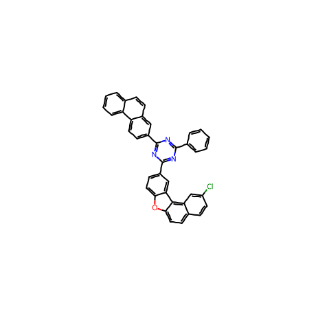 Clc1ccc2ccc3oc4ccc(-c5nc(-c6ccccc6)nc(-c6ccc7c(ccc8ccccc87)c6)n5)cc4c3c2c1